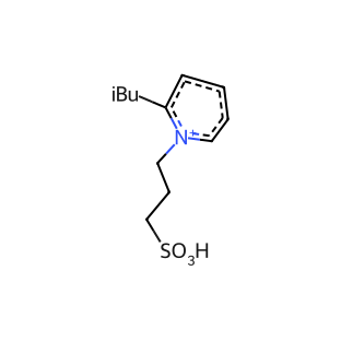 CCC(C)c1cccc[n+]1CCCS(=O)(=O)O